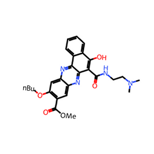 CCCCOc1cc2nc3c(nc2cc1C(=O)OC)c(C(=O)NCCN(C)C)c(O)c1ccccc13